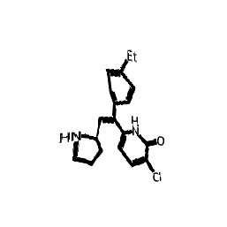 CCc1ccc(C(=C[C@H]2CCCN2)c2ccc(Cl)c(=O)[nH]2)cc1